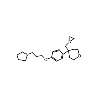 c1cc(C2(CN3CC3)CCOCC2)ccc1OCCCN1CCCC1